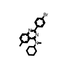 Cc1ccc2nc(-c3ccc(Br)cc3)nc(N(C)C3CCCCC3)c2c1